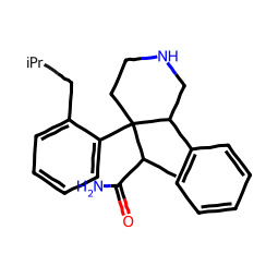 CC(C)Cc1ccccc1C1(C(C)C(N)=O)CCNCC1c1ccccc1